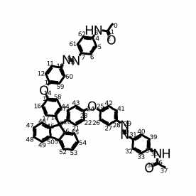 CC(=O)Nc1ccc(N=Nc2ccc(Oc3ccc(C4(c5ccc(Oc6ccc(N=Nc7ccc(NC(C)=O)cc7)cc6)cc5)c5ccccc5-c5ccccc54)cc3)cc2)cc1